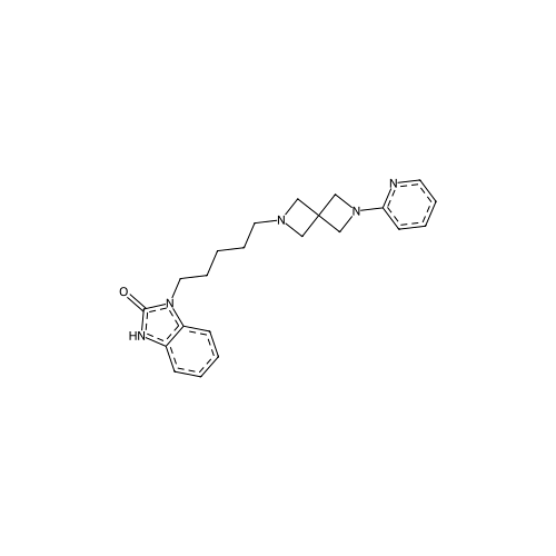 O=c1[nH]c2ccccc2n1CCCCCN1CC2(C1)CN(c1ccccn1)C2